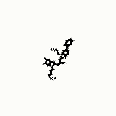 CCC(=C/c1sc2cc(C)c(Cl)cc2[n+]1CCCCS(=O)(=O)O)/C=C1\Oc2ccc(-c3ccccc3)cc2N1CCS(=O)(=O)O